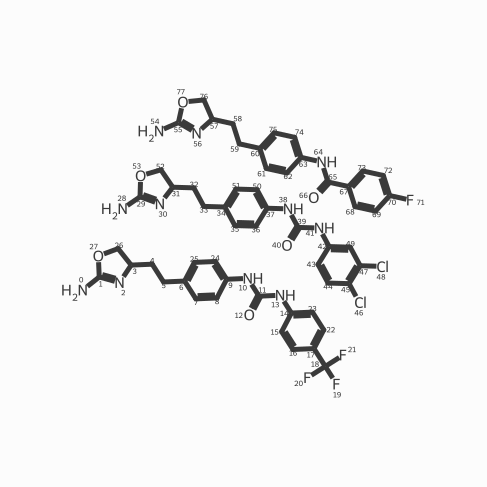 NC1=NC(CCc2ccc(NC(=O)Nc3ccc(C(F)(F)F)cc3)cc2)CO1.NC1=NC(CCc2ccc(NC(=O)Nc3ccc(Cl)c(Cl)c3)cc2)CO1.NC1=NC(CCc2ccc(NC(=O)c3ccc(F)cc3)cc2)CO1